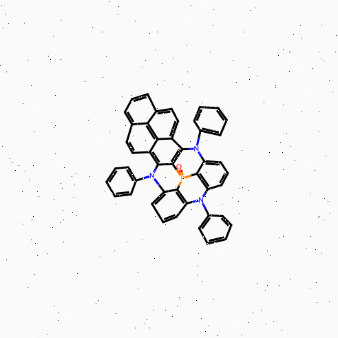 O=P12c3c4cccc3N(c3ccccc3)c3c1c(c1ccc5cccc6ccc3c1c65)N(c1ccccc1)c1cccc(c12)N4c1ccccc1